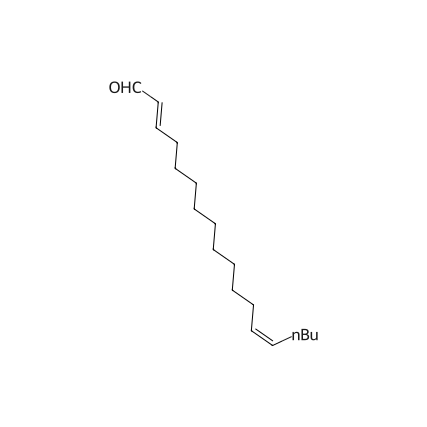 CCCC/C=C\CCCCCCCCC/C=C/C=O